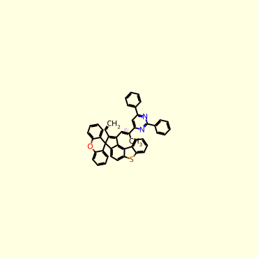 C=CC1=C(/C=C(\C)c2cc(-c3ccccc3)nc(-c3ccccc3)n2)c2c(ccc3sc4ccccc4c23)C12c1ccccc1Oc1ccccc12